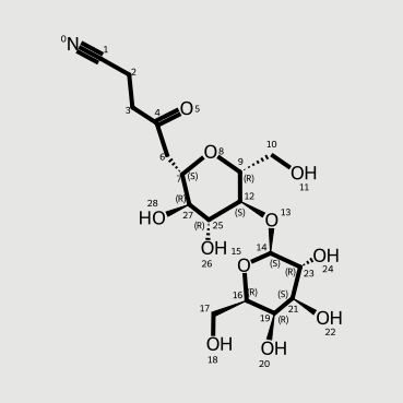 N#CCCC(=O)C[C@@H]1O[C@H](CO)[C@@H](O[C@@H]2O[C@H](CO)[C@H](O)[C@H](O)[C@H]2O)[C@H](O)[C@H]1O